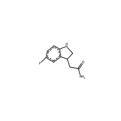 NC(=O)CC1CNc2ccc(F)cc21